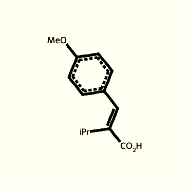 COc1ccc(C=C(C(=O)O)C(C)C)cc1